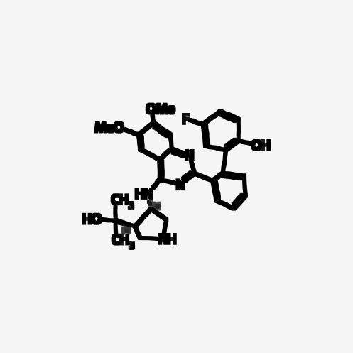 COc1cc2nc(-c3ccccc3-c3cc(F)ccc3O)nc(N[C@@H]3CNC[C@H]3C(C)(C)O)c2cc1OC